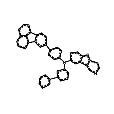 c1ccc(-c2cccc(N(c3ccc(-c4ccc5c(c4)-c4cccc6cccc-5c46)cc3)c3ccc4sc5ccncc5c4c3)c2)cc1